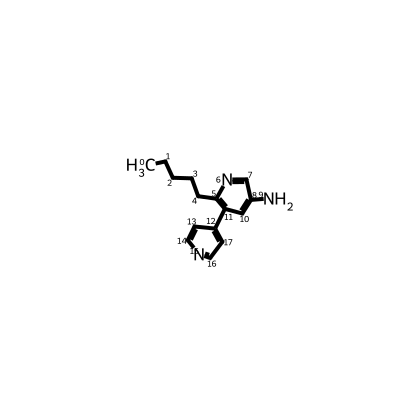 CCCCCc1ncc(N)cc1-c1ccncc1